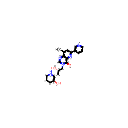 Cc1cc(-c2cccnc2)nc2c(=O)n(C[C@@H](O)C[C@H]3NCCC[C@@H]3O)cnc12